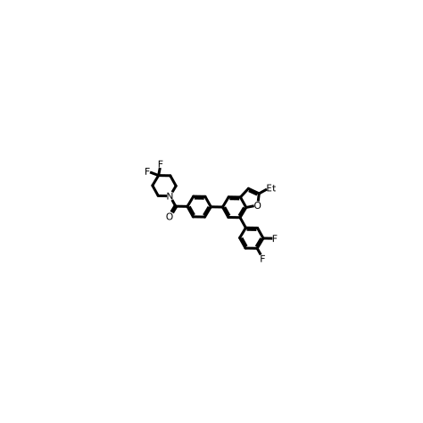 CCc1cc2cc(-c3ccc(C(=O)N4CCC(F)(F)CC4)cc3)cc(-c3ccc(F)c(F)c3)c2o1